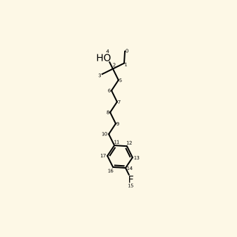 CCC(C)(O)CCCCCCc1ccc(F)cc1